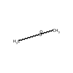 CCCCCCCCCCCCCCCCOC(=O)CCCCCCCCC